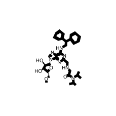 COC[C@H]1O[C@@H](n2cnc3c(NCC(c4ccccc4)c4ccccc4)nc(CNCC(=O)N(C(C)C)C(C)C)nc32)[C@H](O)[C@@H]1O